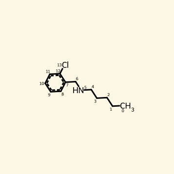 CCCCCNCc1ccccc1Cl